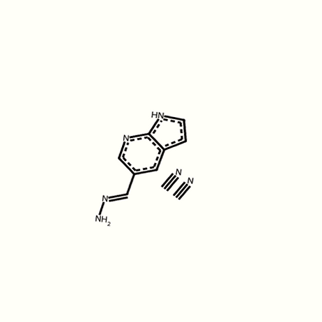 C#N.C#N.NN=Cc1cnc2[nH]ccc2c1